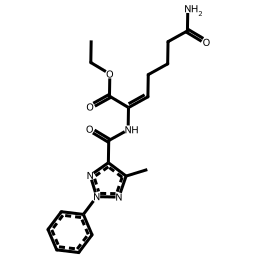 CCOC(=O)C(=CCCCC(N)=O)NC(=O)c1nn(-c2ccccc2)nc1C